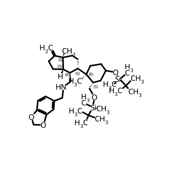 C=C1CC[C@H]2[C@H](CNCc3ccc4c(c3)OCO4)[C@@H]([C@@]3(C)CCC(O[Si](C)(C)C(C)(C)C)C[C@@H]3CO[Si](C)(C)C(C)(C)C)CC[C@]12C